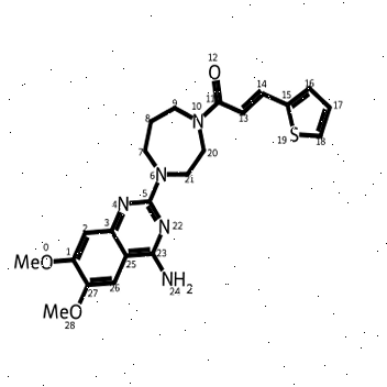 COc1cc2nc(N3CCCN(C(=O)C=Cc4cccs4)CC3)nc(N)c2cc1OC